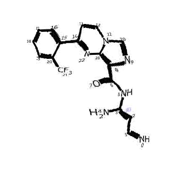 N=C/C=C(\N)NC(=O)c1ncn2ccc(-c3ccccc3C(F)(F)F)nc12